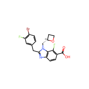 O=C(O)c1ccc2nc(Cc3ccc(Br)c(F)c3)n(C[C@@H]3CCO3)c2c1F